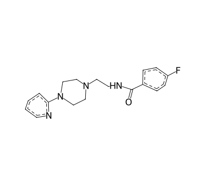 O=C(NCCN1CCN(c2ccccn2)CC1)c1ccc(F)cc1